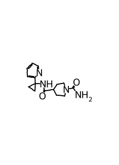 NC(=O)N1CCC(C(=O)NC2(c3ccccn3)CC2)CC1